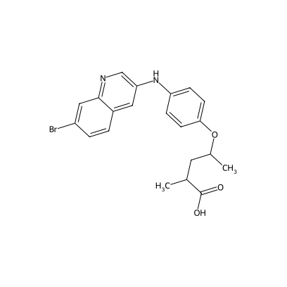 CC(CC(C)C(=O)O)Oc1ccc(Nc2cnc3cc(Br)ccc3c2)cc1